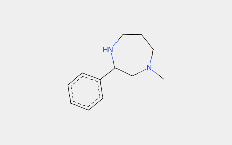 CN1CCCNC(c2ccccc2)C1